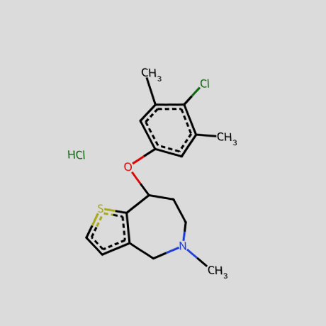 Cc1cc(OC2CCN(C)Cc3ccsc32)cc(C)c1Cl.Cl